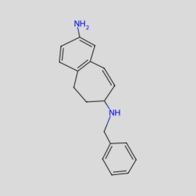 Nc1ccc2c(c1)C=CC(NCc1ccccc1)CC2